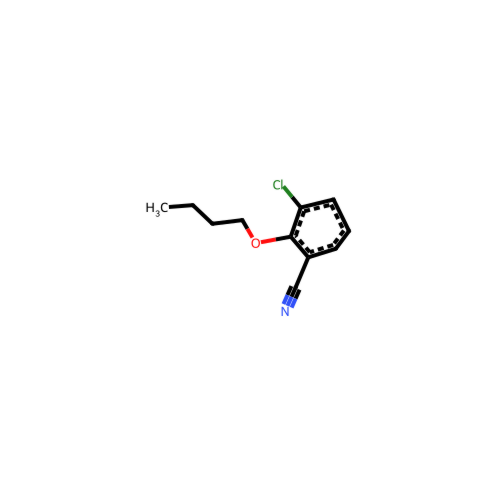 CCCCOc1c(Cl)cccc1C#N